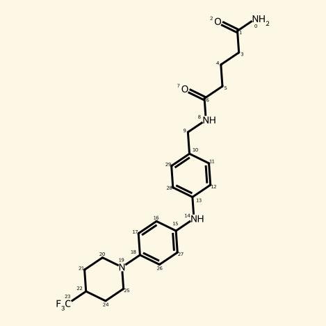 NC(=O)CCCC(=O)NCc1ccc(Nc2ccc(N3CCC(C(F)(F)F)CC3)cc2)cc1